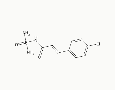 NP(N)(=O)NC(=O)C=Cc1ccc(Cl)cc1